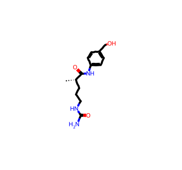 C[C@@H](CCCNC(N)=O)C(=O)Nc1ccc(CO)cc1